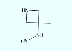 CCCNC1(C)CNC1